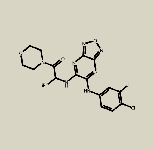 CC(C)C(Nc1nc2nonc2nc1Nc1ccc(Cl)c(Cl)c1)C(=O)N1CCOCC1